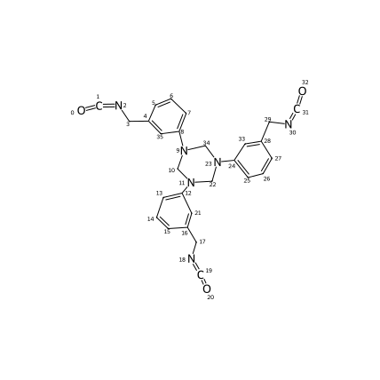 O=C=NCc1cccc(N2CN(c3cccc(CN=C=O)c3)CN(c3cccc(CN=C=O)c3)C2)c1